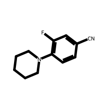 N#Cc1ccc(N2CCCCC2)c(F)c1